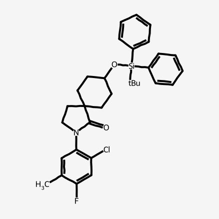 Cc1cc(N2CCC3(CCC(O[Si](c4ccccc4)(c4ccccc4)C(C)(C)C)CC3)C2=O)c(Cl)cc1F